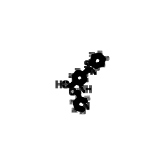 O=C(Nc1cc(-c2nc3ccccc3s2)ccc1CO)c1cccnc1